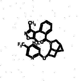 Cc1noc(C)c1-c1ccccc1C(=O)N1CC2CC23CC(Oc2ccc(C(F)(F)F)cn2)C13